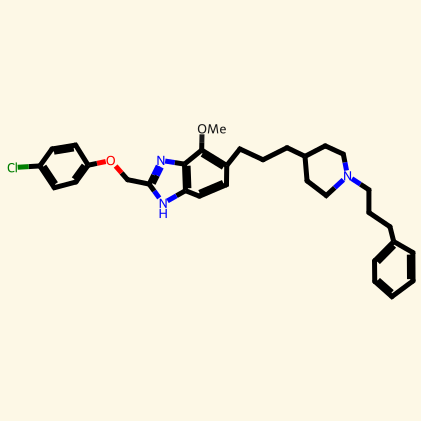 COc1c(CCCC2CCN(CCCc3ccccc3)CC2)ccc2[nH]c(COc3ccc(Cl)cc3)nc12